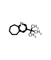 CC(C)(C)c1cnc2c(c1)CCCCC2